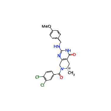 COc1ccc(CNc2nc3c(c(=O)[nH]2)C[C@H](C)N(C(=O)c2ccc(Cl)c(Cl)c2)C3)cc1